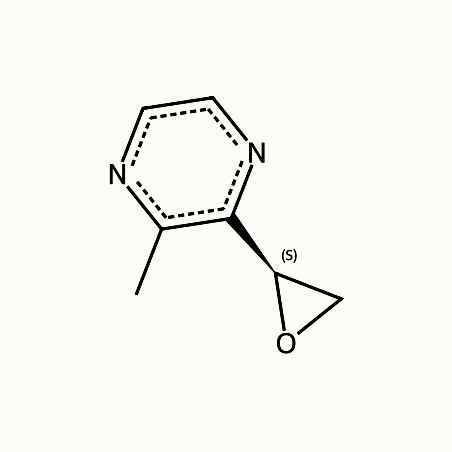 Cc1nccnc1[C@H]1CO1